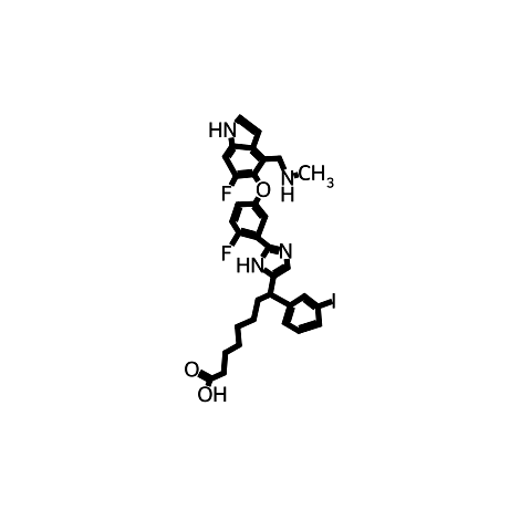 CNCc1c(Oc2ccc(F)c(-c3ncc(C(CCCCCCC(=O)O)c4cccc(I)c4)[nH]3)c2)c(F)cc2[nH]ccc12